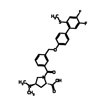 CSc1cc(F)c(F)cc1-c1ccc(OCc2cccc(C(=O)N3C[C@H](N(C)C)C[C@H]3C(=O)O)c2)cc1